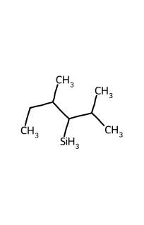 CCC(C)C([SiH3])C(C)C